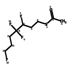 CC(=O)SCCC(F)C(F)(F)CCCF